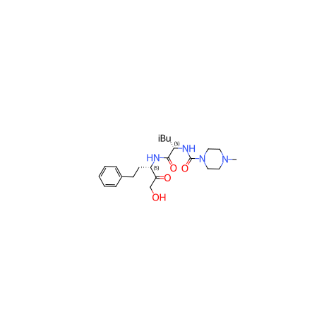 CCC(C)[C@H](NC(=O)N1CCN(C)CC1)C(=O)N[C@@H](CCc1ccccc1)C(=O)CO